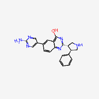 Nc1ncc(-c2ccc3nc([C@@H]4CNC[C@H]4c4ccccc4)nc(O)c3c2)cn1